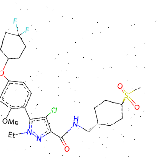 CCn1nc(C(=O)NC[C@H]2CC[C@H](S(C)(=O)=O)CC2)c(Cl)c1-c1ccc(OC2CCC(F)(F)CC2)cc1OC